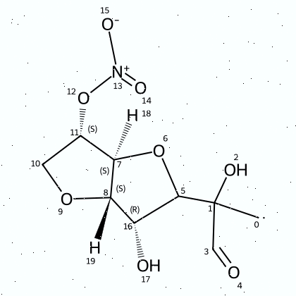 [CH2]C(O)(C=O)C1O[C@H]2[C@@H](OC[C@@H]2O[N+](=O)[O-])[C@H]1O